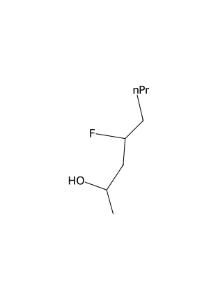 CCCCC(F)CC(C)O